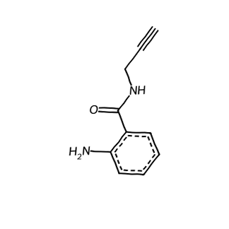 C#CCNC(=O)c1ccccc1N